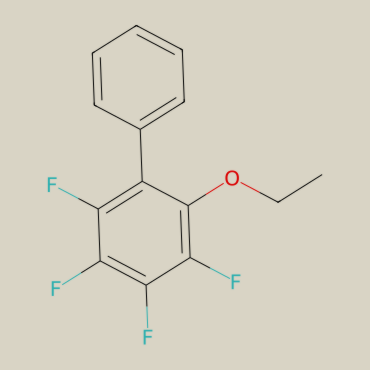 CCOc1c(F)c(F)c(F)c(F)c1-c1ccccc1